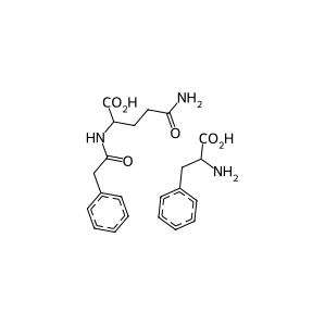 NC(=O)CCC(NC(=O)Cc1ccccc1)C(=O)O.NC(Cc1ccccc1)C(=O)O